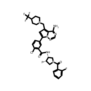 Nc1ncnn2c(-c3ccc(Cl)c(C(=O)N[C@@H]4CN(C(=O)c5ccccc5F)C[C@@H]4F)c3)cc(CN3CCC(C(F)(F)F)CC3)c12